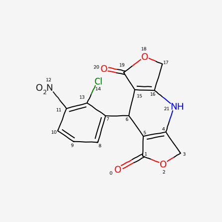 O=C1OCC2=C1C(c1cccc([N+](=O)[O-])c1Cl)C1=C(COC1=O)N2